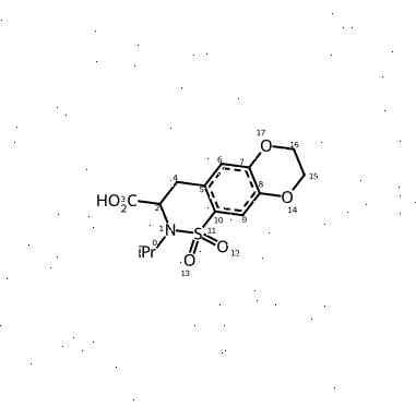 CC(C)N1C(C(=O)O)Cc2cc3c(cc2S1(=O)=O)OCCO3